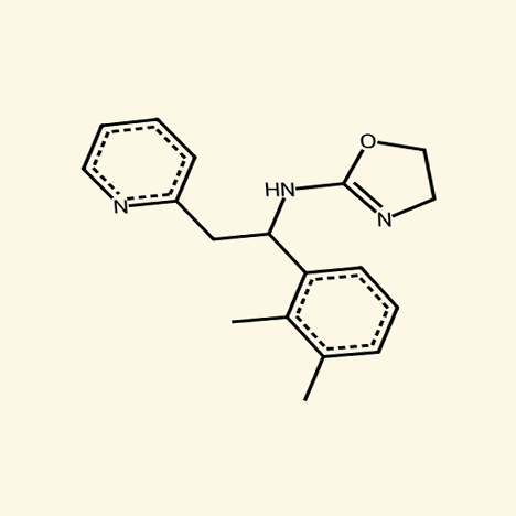 Cc1cccc(C(Cc2ccccn2)NC2=NCCO2)c1C